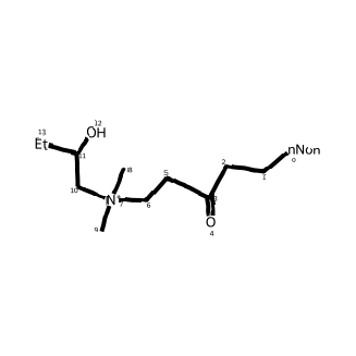 CCCCCCCCCCCC(=O)CC[N+](C)(C)CC(O)CC